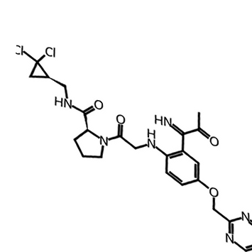 CC(=O)C(=N)c1cc(OCc2ncccn2)ccc1NCC(=O)N1CCC[C@H]1C(=O)NC[C@H]1CC1(Cl)Cl